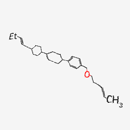 CC=CCCOCc1ccc(C2CCC(C3CCC(C=CCC)CC3)CC2)cc1